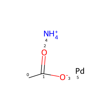 CC(=O)[O-].[NH4+].[Pd]